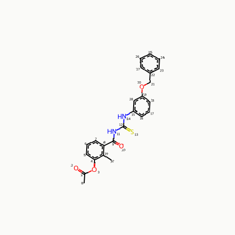 CC(=O)Oc1cccc(C(=O)NC(=S)Nc2cccc(OCc3ccccc3)c2)c1C